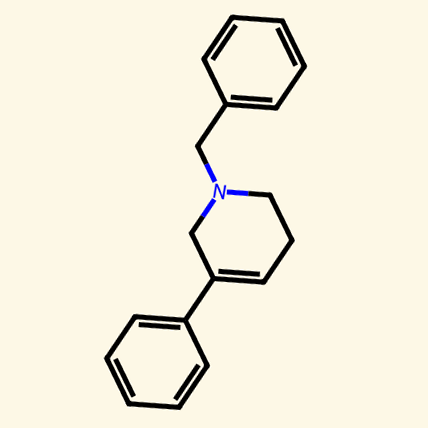 C1=C(c2ccccc2)CN(Cc2ccccc2)CC1